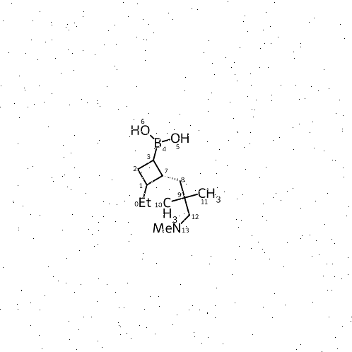 CCC1CC(B(O)O)[C@@H]1CC(C)(C)CNC